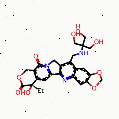 CC[C@@]1(O)C(=O)OCc2c1cc1n(c2=O)Cc2c-1nc1cc3c(cc1c2CNC(CO)(CO)CO)OCO3